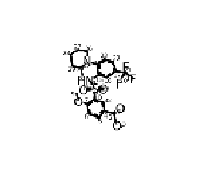 COC(=O)c1ccc(OC)c(S(=O)(=O)Nc2cc(C(F)(F)F)ccc2N2CCCC[C@@H]2C)c1